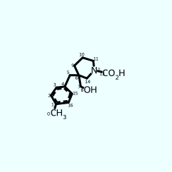 Cc1ccc(CC2(CO)CCCN(C(=O)O)C2)cc1